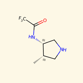 C[C@H]1CNC[C@H]1NC(=O)C(F)(F)F